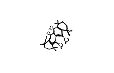 COc1c2c(c(OC)c3c(OC)c4c(c(OC)c13)C(C)(C)CCC4(C)C)C(C)(C)CCC2(C)C